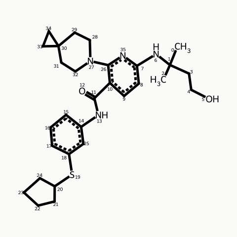 CC(C)(CCO)Nc1ccc(C(=O)Nc2cccc(SC3CCCC3)c2)c(N2CCC3(CC2)CC3)n1